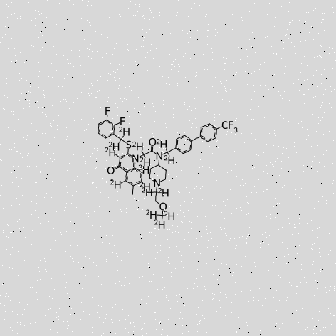 [2H]c1c(C)c([2H])c2c(=O)c([2H])c(SC([2H])([2H])c3cccc(F)c3F)n(C([2H])([2H])C(=O)N(C3CCN(C([2H])([2H])COC([2H])([2H])[2H])CC3)C([2H])([2H])c3ccc(-c4ccc(C(F)(F)F)cc4)cc3)c2c1[2H]